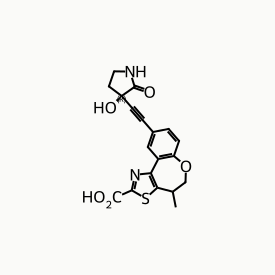 CC1COc2ccc(C#C[C@]3(O)CCNC3=O)cc2-c2nc(C(=O)O)sc21